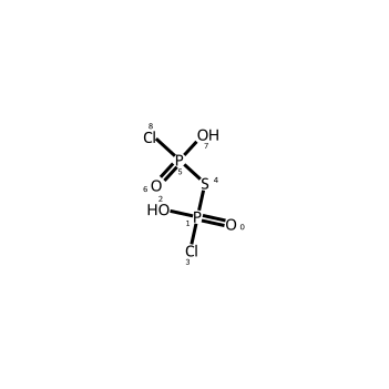 O=P(O)(Cl)SP(=O)(O)Cl